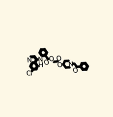 O=C(COC(=O)c1ccccc1Nc1ccnc2cc(Cl)ccc12)OC1CCN(CC(=O)c2ccccc2)CC1